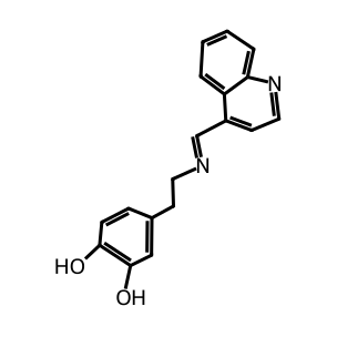 Oc1ccc(CC/N=C/c2ccnc3ccccc23)cc1O